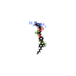 CCCCCc1ccc(-c2cc3ccc(OCC(COC(=O)C(C)(C)C(N)CC(C)(C)N)C(F)(F)F)cc3s2)c(C(F)(F)F)c1